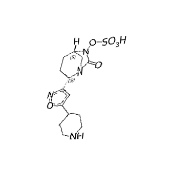 O=C1N2C[C@H](CC[C@H]2c2cc(C3CCNCC3)on2)N1OS(=O)(=O)O